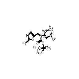 CN/C(=N\[N+](=O)[O-])N(Cc1cnc(Cl)s1)C(=O)OC(C)(C)C